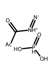 CC(=O)C(=O)[NH+]=[N-].O=[PH](O)O